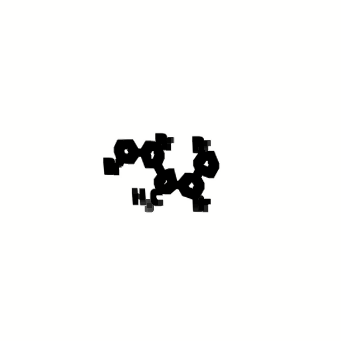 Cc1cc(-c2cc(Br)cc(-c3cccc(Br)c3)c2)cc(-c2cc(Br)cc(-c3cccc(Br)c3)c2)c1